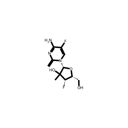 C=C1N=C(N)C(F)=CN1[C@@H]1O[C@H](CO)[C@H](F)C1(C)O